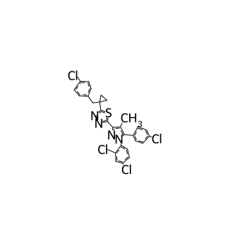 Cc1c(-c2nnc(C3(Cc4ccc(Cl)cc4)CC3)s2)nn(-c2ccc(Cl)cc2Cl)c1-c1ccc(Cl)cc1